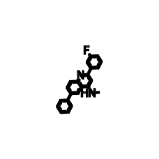 CNc1cc(-c2cccc(F)c2)nc2ccc(-c3ccccc3)cc12